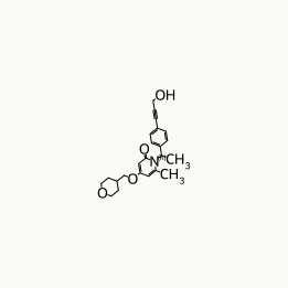 Cc1cc(OCC2CCOCC2)cc(=O)n1[C@H](C)c1ccc(C#CCO)cc1